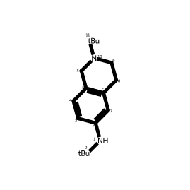 CC(C)(C)Nc1ccc2c(c1)CCN(C(C)(C)C)C2